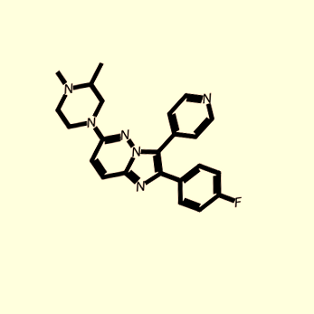 CC1CN(c2ccc3nc(-c4ccc(F)cc4)c(-c4ccncc4)n3n2)CCN1C